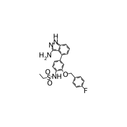 CCS(=O)(=O)Nc1ccc(-c2cccc3[nH]nc(N)c23)cc1OCc1ccc(F)cc1